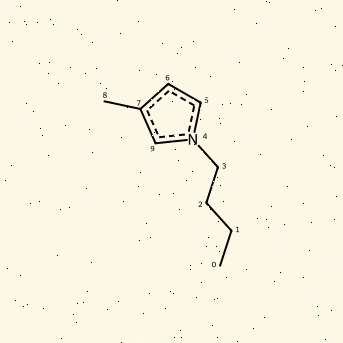 CCCCn1ccc(C)c1